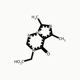 Cc1nc(C)n2ncn(CC(=O)O)c(=O)c12